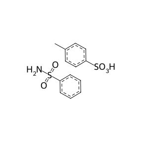 Cc1ccc(S(=O)(=O)O)cc1.NS(=O)(=O)c1ccccc1